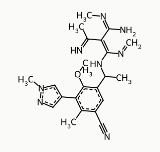 C=N/C(NC(C)c1cc(C#N)c(C)c(-c2cnn(C)c2)c1OC)=C(C(C)=N)\C(N)=N/C